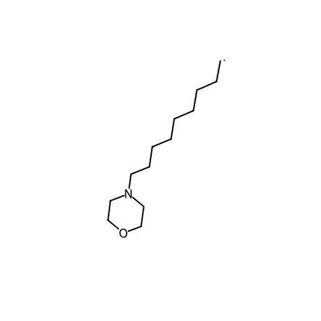 [CH2]CCCCCCCCN1CCOCC1